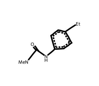 CCc1ccc(NC(=O)NC)cc1